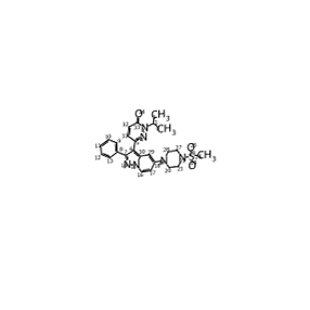 CC(C)n1nc(-c2c(-c3ccccc3)nn3ccc(N4CCN(S(C)(=O)=O)CC4)cc23)ccc1=O